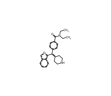 CCN(CC)C(=O)c1ccc(C(=C2CCNCC2)c2occ3ccccc23)cc1